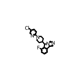 Fc1cccc2c1C(C1CCN(c3ccc(Cl)cn3)CC1)n1cncc1-2